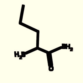 BC(=O)C(B)CCC